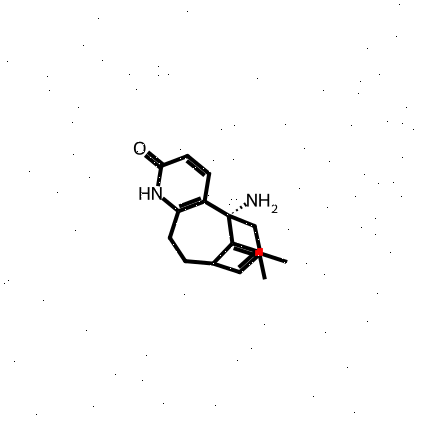 C/C=C1\C2C=C(C)C[C@]1(N)c1ccc(=O)[nH]c1CC2